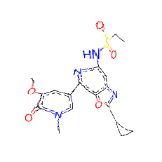 CCS(=O)(=O)Nc1cc2nc(C3CC3)oc2c(-c2cc(OC)c(=O)n(C)c2)n1